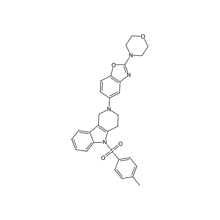 Cc1ccc(S(=O)(=O)n2c3c(c4ccccc42)CN(c2ccc4oc(N5CCOCC5)nc4c2)CC3)cc1